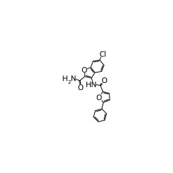 NC(=O)c1oc2cc(Cl)ccc2c1NC(=O)c1ccc(-c2ccccc2)o1